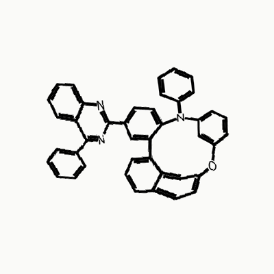 c1ccc(-c2nc(-c3ccc4c(c3)c3cccc5ccc(cc53)oc3cccc(c3)n4-c3ccccc3)nc3ccccc23)cc1